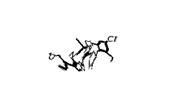 CCC(COC)c1cnn2c(Nc3c(C)cc(Cl)cc3Cl)nc(C)nc12